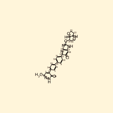 Cc1cc(-c2ccc(-c3ccc(-c4nc5nc(OC6CO[C@@H]7CCO[C@H]67)[nH]c5cc4Cl)cc3)cc2)c(=O)[nH]n1